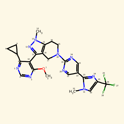 COc1ncnc(C2CC2)c1-c1nn(C)c2c1CN(c1ncc(-c3nc(C(F)(F)F)cn3C)cn1)CC2